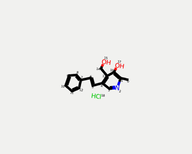 Cc1ncc(C=Cc2ccccc2)c(CO)c1O.Cl